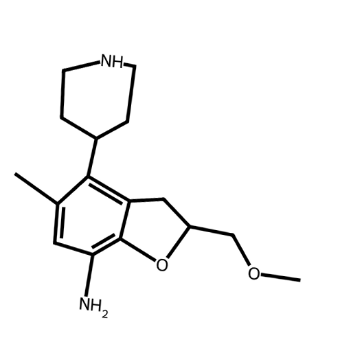 COCC1Cc2c(c(N)cc(C)c2C2CCNCC2)O1